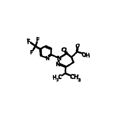 CC(C)C1=NN(c2ccc(C(F)(F)F)cn2)C(=O)C(C(=O)O)C1